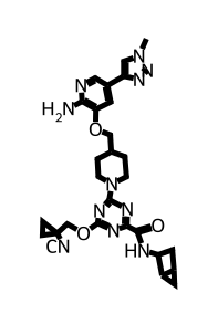 Cn1cc(-c2cnc(N)c(OCC3CCN(c4nc(OCC5(C#N)CC5)nc(C(=O)NC5CC6CC65)n4)CC3)c2)nn1